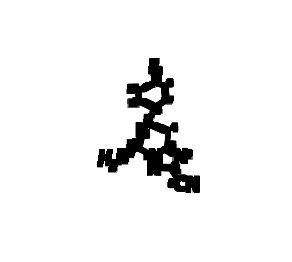 N#Cc1nc2cc(-c3ccc(F)cc3)nc(N)n2n1